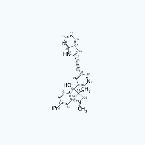 CC(C)c1ccc(C(O)(c2cncc(C#Cc3cc4cccnc4[nH]3)c2)C2(C)CN(C)C2)cc1